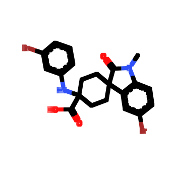 CN1C(=O)C2(CCC(Nc3cccc(Br)c3)(C(=O)O)CC2)c2cc(Br)ccc21